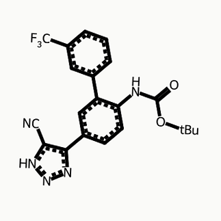 CC(C)(C)OC(=O)Nc1ccc(-c2nn[nH]c2C#N)cc1-c1cccc(C(F)(F)F)c1